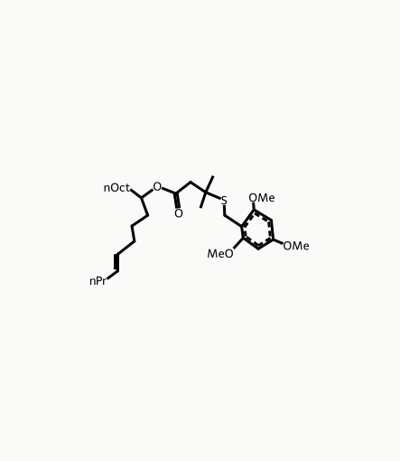 CCC/C=C/CCCC(CCCCCCCC)OC(=O)CC(C)(C)SCc1c(OC)cc(OC)cc1OC